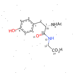 CC(=O)N[C@@H](Cc1ccc(O)cc1)C(=O)NCC(=O)O